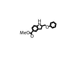 COC(=O)c1ccc2c(c1)CC(COc1ccccc1)N2